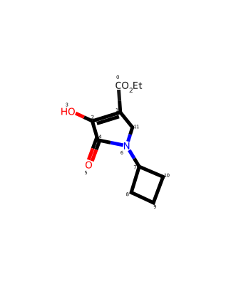 CCOC(=O)C1=C(O)C(=O)N(C2CCC2)C1